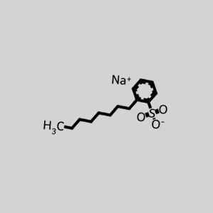 CCCCCCCCc1ccccc1S(=O)(=O)[O-].[Na+]